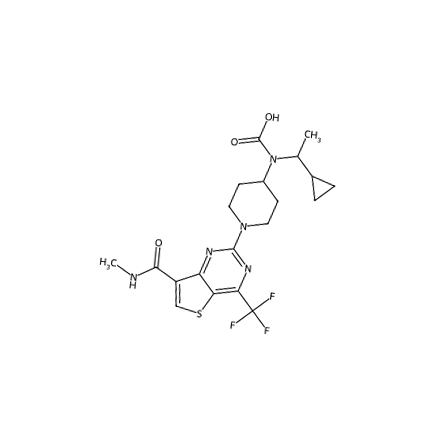 CNC(=O)c1csc2c(C(F)(F)F)nc(N3CCC(N(C(=O)O)C(C)C4CC4)CC3)nc12